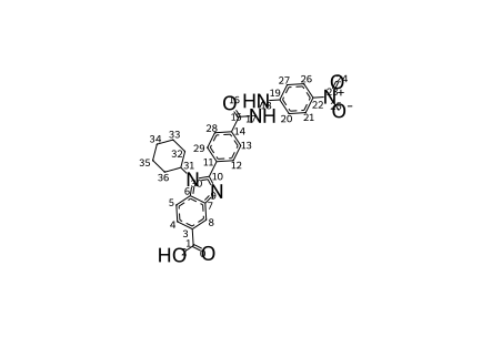 O=C(O)c1ccc2c(c1)nc(-c1ccc(C(=O)NNc3ccc([N+](=O)[O-])cc3)cc1)n2C1CCCCC1